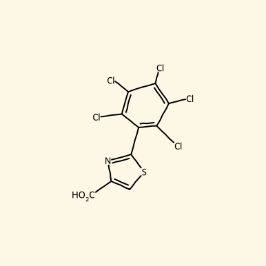 O=C(O)c1csc(-c2c(Cl)c(Cl)c(Cl)c(Cl)c2Cl)n1